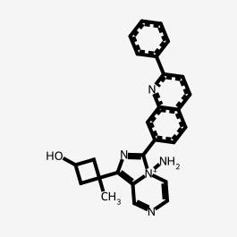 CC1(C2=C3C=NC=C[N+]3(N)C(c3ccc4ccc(-c5ccccc5)nc4c3)=N2)CC(O)C1